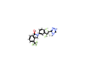 Cn1cnnc1[C@H](F)[C@@](C)(F)c1cccc(N2Cc3c(cccc3C(F)(F)F)C2=O)c1